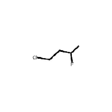 CC(F)C[CH]Cl